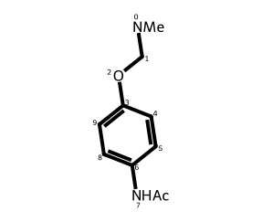 CNCOc1ccc(NC(C)=O)cc1